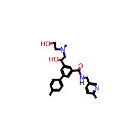 Cc1ccc(-c2cc(C(=O)NCc3ccc(C)nc3)cc(C(O)CN(C)CCO)c2)cc1